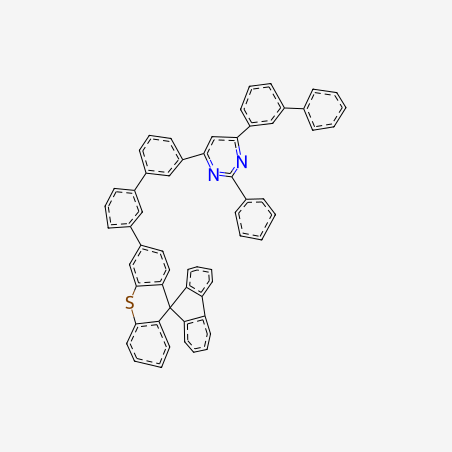 c1ccc(-c2cccc(-c3cc(-c4cccc(-c5cccc(-c6ccc7c(c6)Sc6ccccc6C76c7ccccc7-c7ccccc76)c5)c4)nc(-c4ccccc4)n3)c2)cc1